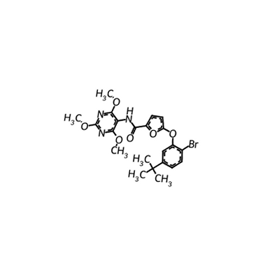 COc1nc(OC)c(NC(=O)c2ccc(Oc3cc(C(C)(C)C)ccc3Br)o2)c(OC)n1